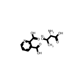 CC(C)[C@H](N)C(=O)O.O=C(O)c1cccnc1C(=O)O